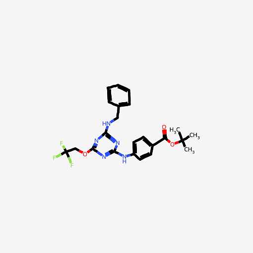 CC(C)(C)OC(=O)c1ccc(Nc2nc(NCc3ccccc3)nc(OCC(F)(F)F)n2)cc1